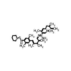 C=CC(=C)CC/C=C(C)\C(=C/N=C)N(N)/N=C\C(=C)C(=C)/C(C)=C/c1cc(C)c(NSN2CCCCC2)cc1C